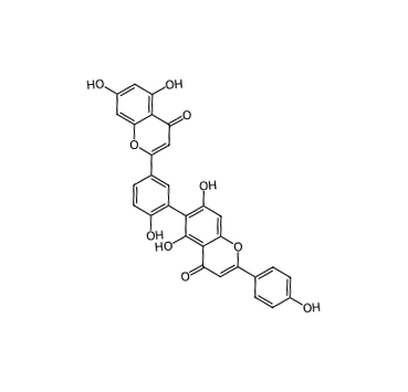 O=c1cc(-c2ccc(O)c(-c3c(O)cc4oc(-c5ccc(O)cc5)cc(=O)c4c3O)c2)oc2cc(O)cc(O)c12